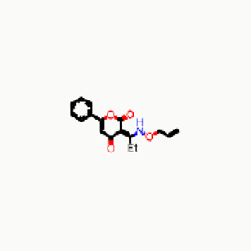 C=CCONC(CC)=C1C(=O)C=C(c2ccccc2)OC1=O